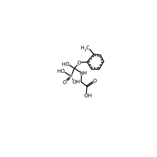 Cc1ccccc1OC(O)(NCC(=O)O)P(=O)(O)O